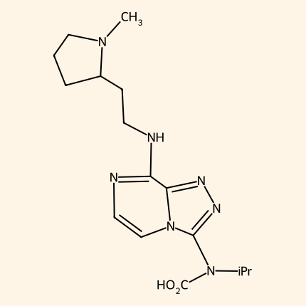 CC(C)N(C(=O)O)c1nnc2c(NCCC3CCCN3C)nccn12